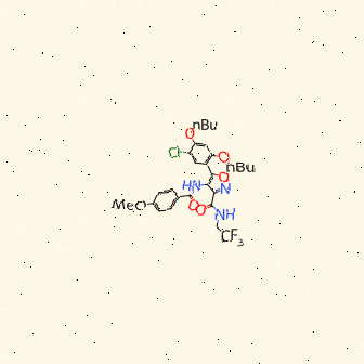 CCCCOc1cc(OCCCC)c(-c2onc(C(=O)NCC(F)(F)F)c2NC(=O)c2ccc(OC)cc2)cc1Cl